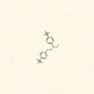 CCC(CCc1ccc([Si](C)(C)C)cc1)c1ccc([Si](C)(C)C)cc1